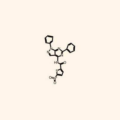 O=C(Nc1nc(-c2ccccc2)nc2c1cnn2-c1ccccc1)c1ccc([N+](=O)[O-])s1